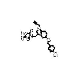 C#CCn1cc(Cn2oc(=O)[nH]c2=O)c2cc(OCc3ccc(Cl)cc3)ccc21